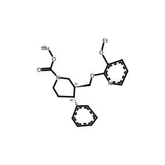 CCOc1cccnc1OC[C@@H]1CN(C(=O)OC(C)(C)C)CC[C@H]1c1ccccc1